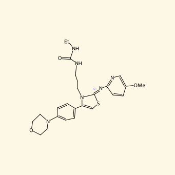 CCNC(=O)NCCCn1c(-c2ccc(N3CCOCC3)cc2)cs/c1=N\c1ccc(OC)cn1